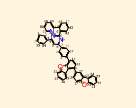 c1ccc(-c2cc(-c3ccc(-c4ccc(-c5ccc6oc7ccccc7c6c5)c5c4oc4ccccc45)cc3)nc(-c3ccccc3-c3ccccn3)n2)cc1